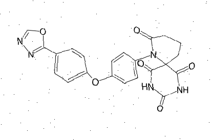 O=C1NC(=O)C2(CCCC(=O)N2c2ccc(Oc3ccc(-c4nnco4)cc3)cc2)C(=O)N1